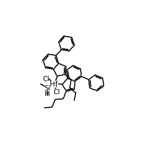 CCCCC1=Cc2c(-c3ccccc3)cccc2[CH]1[Hf]([Cl])([Cl])([CH]1C(CCCC)=Cc2c(-c3ccccc3)cccc21)[SiH](C)C